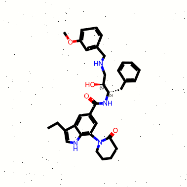 CCc1c[nH]c2c(N3CCCCC3=O)cc(C(=O)N[C@@H](Cc3ccccc3)[C@@H](O)CNCc3cccc(OC)c3)cc12